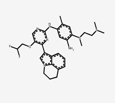 Cc1cc(N(C)CCN(C)C)c(N)cc1Nc1ncc(OCC(F)F)c(-c2cn3c4c(cccc24)CCC3)n1